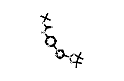 CC(C)(C)OC(=O)Nc1ccc(-n2cc(B3OC(C)(C)C(C)(C)O3)cn2)nc1